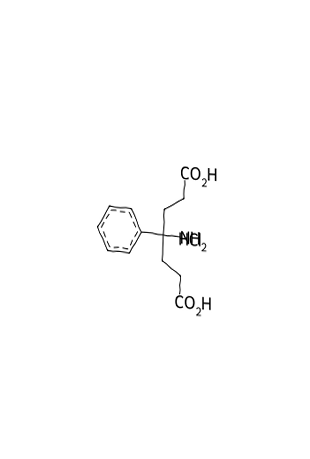 Cl.NC(CCC(=O)O)(CCC(=O)O)c1ccccc1